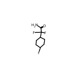 NC(=O)C(F)(F)C1CCC(F)CC1